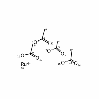 CC(=O)[O-].CC(=O)[O-].CC(=O)[O-].CC(=O)[O-].[Ru+4]